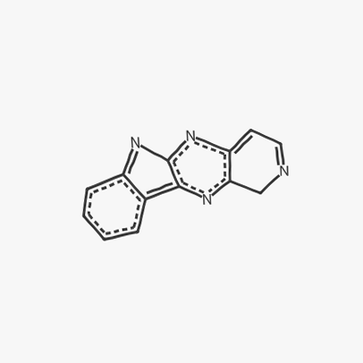 C1=NCc2nc3c(nc2=C1)N=c1ccccc1=3